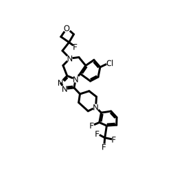 Fc1c(N2CCC(c3nnc4n3-c3ccc(Cl)cc3CN(CC3(F)COC3)C4)CC2)cccc1C(F)(F)F